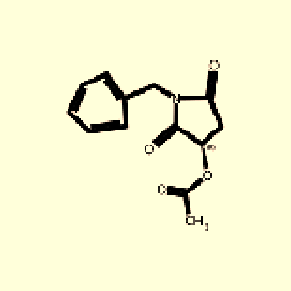 CC(=O)O[C@@H]1CC(=O)N(Cc2ccccc2)C1=O